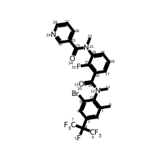 Cc1cc(C(F)(C(F)(F)F)C(F)(F)F)cc(Br)c1N(C)C(=O)c1cccc(N(C)C(=O)c2cccnc2)c1F